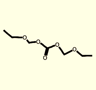 CCOCOC(=O)OCOCC